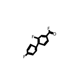 O=C(F)c1ccc(-c2ccc(F)cc2)c(F)c1